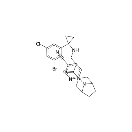 N#Cc1ccc(N2C3CCC2CN(C(=O)CCNC2(c4cc(Cl)cc(Br)c4)CC2)C3)nc1